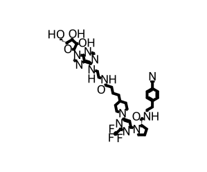 N#Cc1ccc(CCNC(=O)[C@@H]2CCCN2c2cc(N3CCC(CCCC(=O)NCCNc4ncnc5c4ncn5[C@@H]4O[C@H](CO)C(O)C4O)CC3)nc(C(F)(F)F)n2)cc1